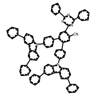 N#Cc1cc(-c2ccc(-n3c4ccc(-c5ccccc5)cc4c4cc(-c5ccccc5)ccc43)cc2)c(-c2ccc(-n3c4ccc(-c5ccccc5)cc4c4cc(-c5ccccc5)ccc43)cc2)cc1-c1nc(-c2ccccc2)nc(-c2ccccc2)n1